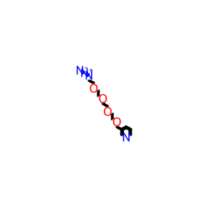 [N-]=[N+]=NCCOCCOCCOCCOCc1cccnc1